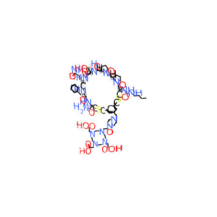 CCCCNC(=O)N[C@H]1CSCc2cc(cc(CN3CCN(C(=O)CN4CCN(CC(=O)O)CCN(CC(=O)O)CCN(CC(=O)O)CC4)CC3)c2)CSC[C@@H](C(N)=O)NC(=O)[C@H](Cc2ccccc2)NC[C@H](CCC(N)=O)NC(=O)[C@H]([C@@H](C)O)NC(=O)[C@@H]2CCCN2C(=O)[C@@H]2CCCN2C1=O